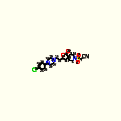 N#CCS(=O)(=O)N1CCC2(CC1)CC(CCN1CCN(c3ccc(Cl)cc3)CC1)OC2=O